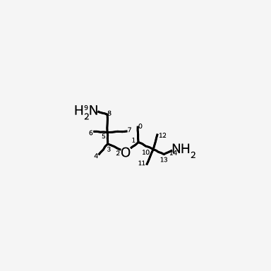 CC(OC(C)C(C)(C)CN)C(C)(C)CN